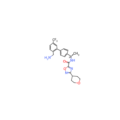 C[C@@H](NC(=O)c1nc(C2CCOCC2)no1)c1ccc(-c2cc(C(F)(F)F)ccc2CN)cc1